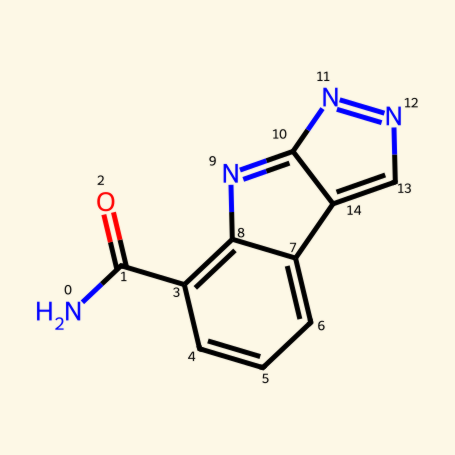 NC(=O)c1cccc2c1N=C1N=NC=C12